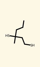 CCCC(C)(S)CCS